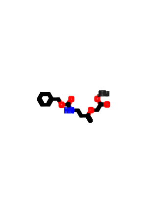 C=C(CCNC(=O)OCc1ccccc1)OCC(=O)OC(C)(C)C